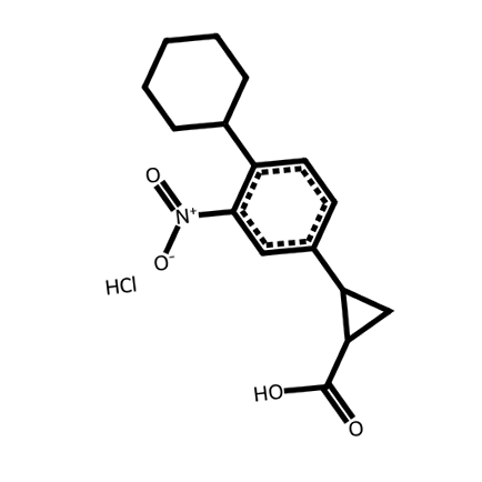 Cl.O=C(O)C1CC1c1ccc(C2CCCCC2)c([N+](=O)[O-])c1